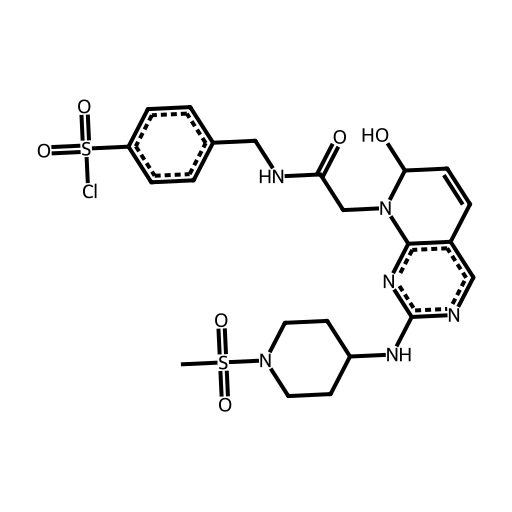 CS(=O)(=O)N1CCC(Nc2ncc3c(n2)N(CC(=O)NCc2ccc(S(=O)(=O)Cl)cc2)C(O)C=C3)CC1